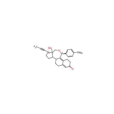 COc1ccc([C@@H]2OCC3(C)C(CC[C@@]3(O)C#CC(F)(F)F)C3CCC4=CC(=O)CCC4=C32)cc1